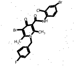 Cc1c(Br)c(=O)c(C(=O)Nc2ccc(Br)cc2Cl)c(C)n1Cc1ccc(F)cc1